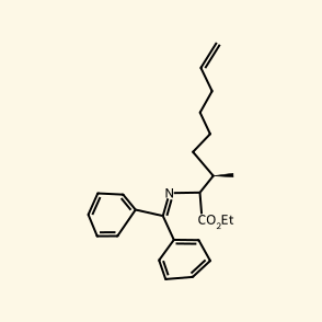 C=CCCCC[C@@H](C)C(N=C(c1ccccc1)c1ccccc1)C(=O)OCC